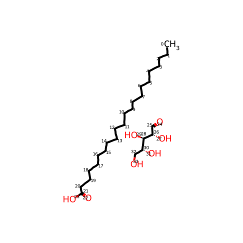 CCCCCCCCCCCCCCCCCCCCCC(=O)O.O=C[C@H](O)[C@H](O)[C@H](O)CO